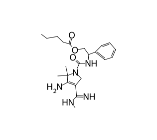 CCCCC(=O)OCC(NC(=O)N1CC(C(=N)NC)=C(N)C1(C)C)c1ccccc1